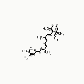 CC(C=CC=C(C)C=CC1=C(C)CCCC1(C)C)=CC=CC=C(C)C(=O)O